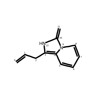 C=CCC1=C2C=CC=CN2C(=C)N1